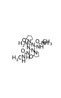 CNC(=O)NC1=NC(N)(N2CCCC2=O)N=C(NC(=O)NC)N1N1CCCC1=O